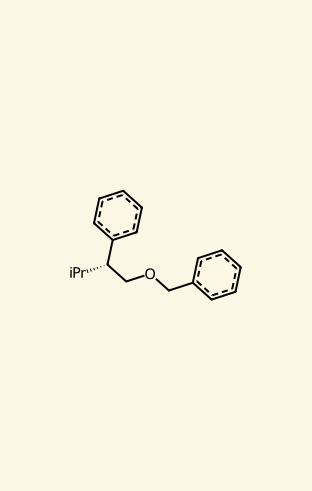 CC(C)[C@@H](COCc1ccccc1)c1ccccc1